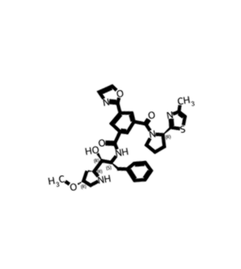 CO[C@H]1CN[C@@H]([C@@H](O)[C@H](Cc2ccccc2)NC(=O)c2cc(C(=O)N3CCC[C@@H]3c3nc(C)cs3)cc(-c3ncco3)c2)C1